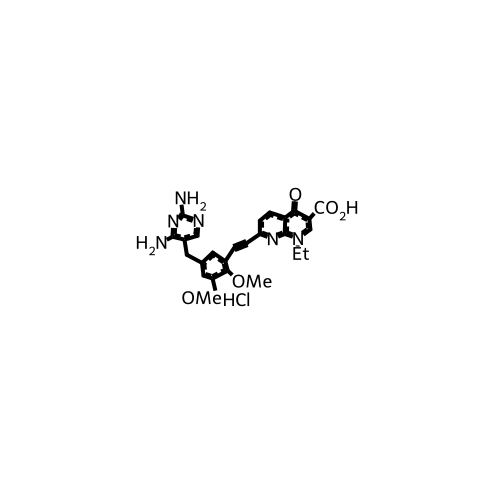 CCn1cc(C(=O)O)c(=O)c2ccc(C#Cc3cc(Cc4cnc(N)nc4N)cc(OC)c3OC)nc21.Cl